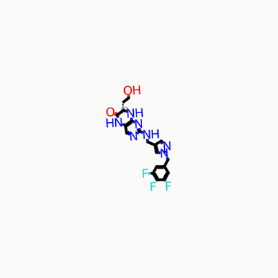 O=C1Nc2cnc(NCc3cnn(Cc4cc(F)c(F)c(F)c4)c3)nc2N[C@H]1CCO